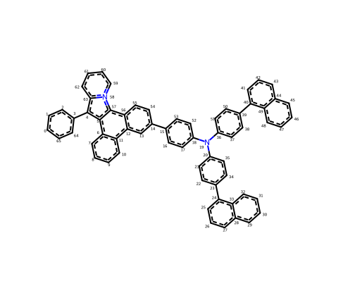 c1ccc(-c2c3c4ccccc4c4cc(-c5ccc(N(c6ccc(-c7cccc8ccccc78)cc6)c6ccc(-c7cccc8ccccc78)cc6)cc5)ccc4c3n3ccccc23)cc1